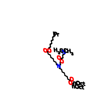 CCCCCCCCC(CCCCCCCC)OC(=O)CCCCCCCN(CCCCCCCC(=O)OCCCCCCCCC(C)C)CCOC(=O)CCCN(C)C